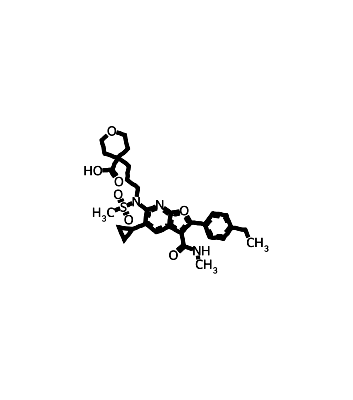 CCc1ccc(-c2oc3nc(N(CCCC4(C(=O)O)CCOCC4)S(C)(=O)=O)c(C4CC4)cc3c2C(=O)NC)cc1